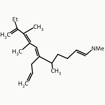 C=CC/C(=C\C(C)=C(/C)C(=C)CC)C(C)CC/C=C/NC